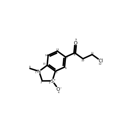 CN1C[S+]([O-])c2cc(C(=O)CCCl)ccc21